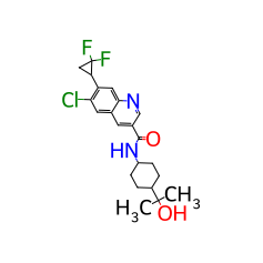 CC(C)(O)C1CCC(NC(=O)c2cnc3cc(C4CC4(F)F)c(Cl)cc3c2)CC1